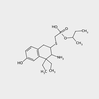 CCC(C)OP(=O)(O)CSC1Cc2ccc(O)cc2C(CC)(CC)C1N